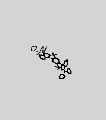 CC1(C)c2cc3c(cc2-c2c1cc(C(c1ccccc1)c1ccccc1)c1ccccc21)C(C)(C)c1cc([N+](=O)[O-])c2ccccc2c1-3